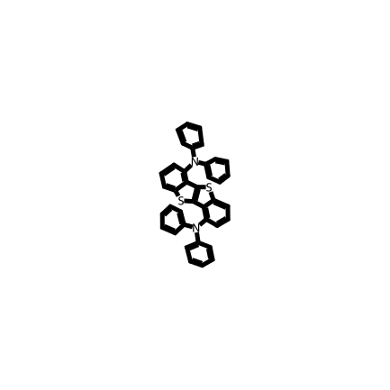 c1ccc(N(c2ccccc2)c2cccc3sc4c(sc5cccc(N(c6ccccc6)c6ccccc6)c54)c23)cc1